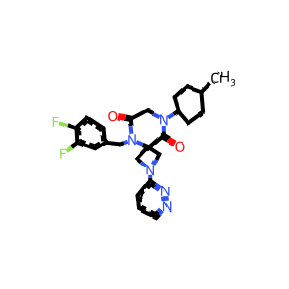 CC1CCC(N2CC(=O)N(Cc3ccc(F)c(F)c3)C3(CN(c4cccnn4)C3)C2=O)CC1